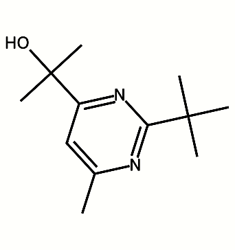 Cc1cc(C(C)(C)O)nc(C(C)(C)C)n1